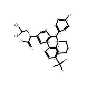 CC(C)C[C@@H](C(=O)O)c1ccc(C(c2ccc(F)cc2)N2CCCCC2)c(-c2ccc(C(F)(F)F)cc2)c1